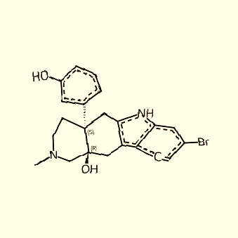 CN1CC[C@@]2(c3cccc(O)c3)Cc3[nH]c4cc(Br)ccc4c3C[C@]2(O)C1